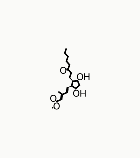 CCCCCC(=O)CC[C@@H]1[C@H](/C=C/C(C)=C/C(=O)OC)[C@@H](O)C[C@H]1O